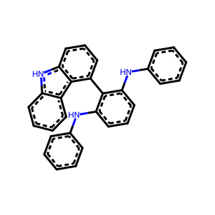 c1ccc(Nc2cccc(Nc3ccccc3)c2-c2cccc3[nH]c4ccccc4c23)cc1